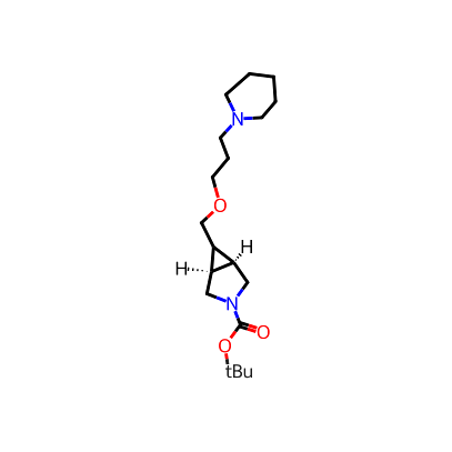 CC(C)(C)OC(=O)N1C[C@@H]2C(COCCCN3CCCCC3)[C@@H]2C1